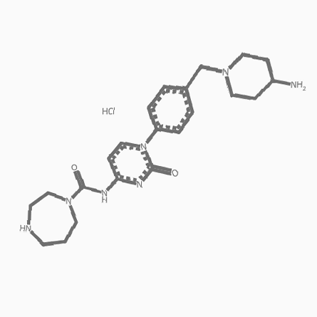 Cl.NC1CCN(Cc2ccc(-n3ccc(NC(=O)N4CCCNCC4)nc3=O)cc2)CC1